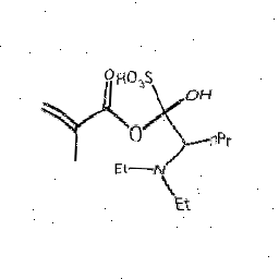 C=C(C)C(=O)OC(O)(C(CCC)N(CC)CC)S(=O)(=O)O